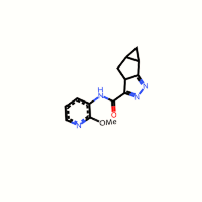 COc1ncccc1NC(=O)C1=NN=C2C1CC1CC21